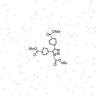 CCCCOC(=O)Cn1nnc(-c2ccc(C(=O)OC)cc2)c1-c1ccc(C(=O)OC)cc1